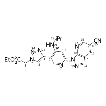 CCOC(=O)Cn1cc(-c2cnc(-n3ncc4cc(C#N)cnc43)cc2NC(C)C)nn1